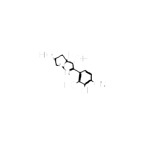 Cc1c(C2=NN3C[C@H](O)C[C@H]3[C@@H]2O)ccc(C#N)c1Cl